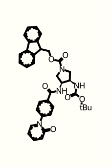 CC(C)(C)OC(=O)N[C@@H]1CN(C(=O)OCC2c3ccccc3-c3ccccc32)C[C@@H]1NC(=O)c1ccc(-n2ccccc2=O)cc1